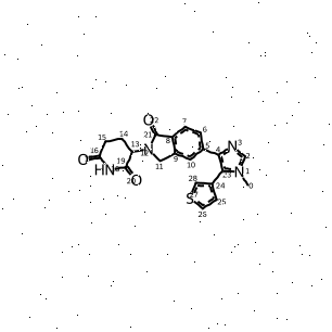 Cn1cnc(-c2ccc3c(c2)CN(C2CCC(=O)NC2=O)C3=O)c1-c1ccsc1